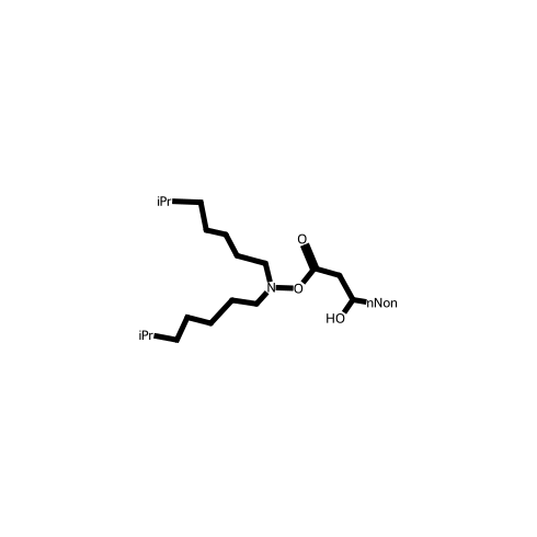 CCCCCCCCCC(O)CC(=O)ON(CCCCCC(C)C)CCCCCC(C)C